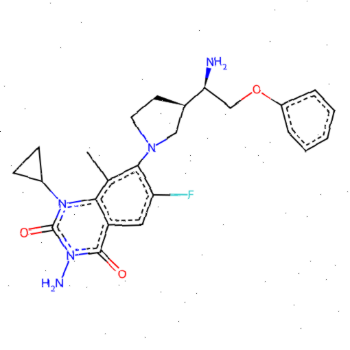 Cc1c(N2CC[C@@H]([C@@H](N)COc3ccccc3)C2)c(F)cc2c(=O)n(N)c(=O)n(C3CC3)c12